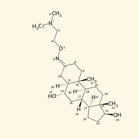 CN(C)CCO/N=C1\CC[C@@]2(C)[C@H](C1)[C@@H](O)C[C@@H]1[C@@H]2CC[C@]2(C)[C@@H](O)CC[C@@H]12